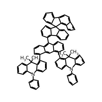 CC1(C)c2ccccc2N(c2ccccc2)c2cccc(-c3cccc4c(-c5cccc6c5-c5ccccc5C65c6ccccc6-c6ccc7ccccc7c65)c5cccc(-c6cccc7c6C(C)(C)c6ccccc6N7c6ccccc6)c5cc34)c21